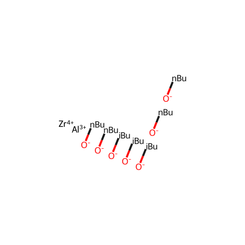 CCC(C)[O-].CCC(C)[O-].CCC(C)[O-].CCCC[O-].CCCC[O-].CCCC[O-].CCCC[O-].[Al+3].[Zr+4]